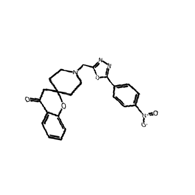 O=C1CC2(CCN(Cc3nnc(-c4ccc([N+](=O)[O-])cc4)o3)CC2)Oc2ccccc21